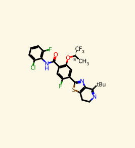 C[C@H](Oc1cc(-c2nc3c(s2)CCN=C3C(C)(C)C)c(F)cc1C(=O)Nc1c(F)cccc1Cl)C(F)(F)F